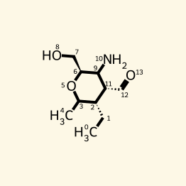 CC[C@@H]1C(C)O[C@@H](CO)C(N)[C@@H]1C=O